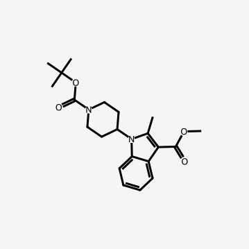 COC(=O)c1c(C)n(C2CCN(C(=O)OC(C)(C)C)CC2)c2ccccc12